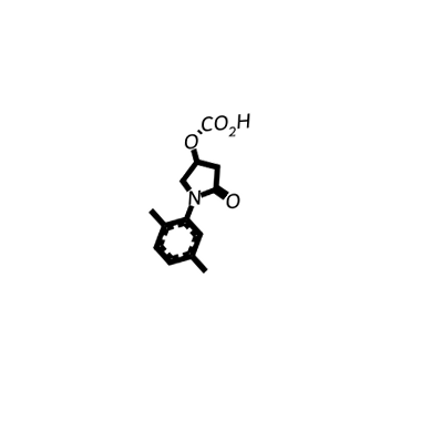 Cc1ccc(C)c(N2CC(OC(=O)O)CC2=O)c1